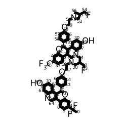 CC(F)(F)c1ccc2c(c1)O[C@H](c1ccc(OCCN3CC(CF)CN4c5cc(O)ccc5C5=C(c6ccc(C(F)(F)F)cc6O[C@@H]5c5ccc(OCCN6CC(CF)C6)cc5)C34)cc1)c1c-2cnc2cc(O)ccc12